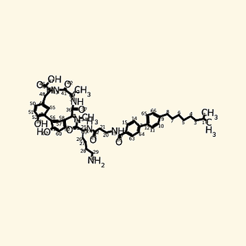 CC(C)CCCCCCc1ccc(-c2ccc(C(=O)NCCC(=O)N[C@@H](CCCCN)C(=O)N(C)[C@@H]3C(=O)N[C@@H](C)C(=O)N[C@H](C(=O)O)Cc4ccc(O)c(c4)-c4cc3ccc4O)cc2)cc1